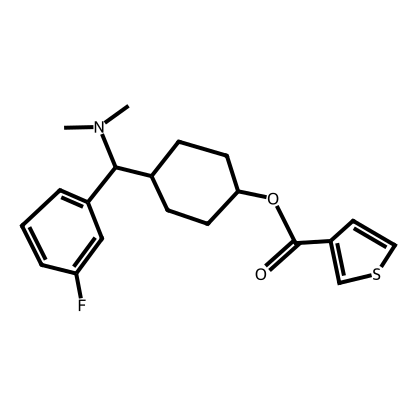 CN(C)C(c1cccc(F)c1)C1CCC(OC(=O)c2ccsc2)CC1